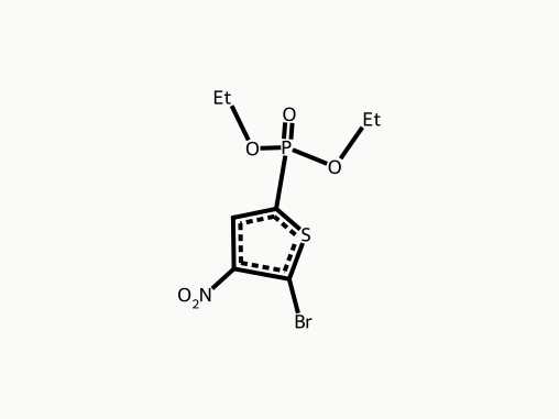 CCOP(=O)(OCC)c1cc([N+](=O)[O-])c(Br)s1